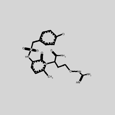 Cc1ccc(NS(=O)(=O)Cc2ccc(Cl)cc2)c(=O)n1C(CCONC(=N)N)C(N)=O